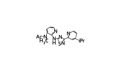 CC(=O)N(C)c1cccnc1Nc1nc(-c2cc(C(C)C)ccn2)ns1